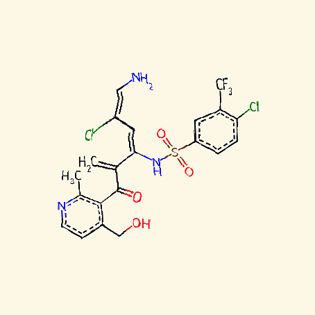 C=C(C(=O)c1c(CO)ccnc1C)/C(=C\C(Cl)=C/N)NS(=O)(=O)c1ccc(Cl)c(C(F)(F)F)c1